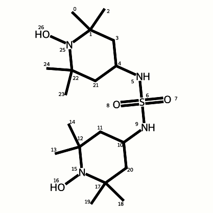 CC1(C)CC(NS(=O)(=O)NC2CC(C)(C)N(O)C(C)(C)C2)CC(C)(C)N1O